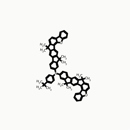 CC(C)(C)c1ccc(N(c2ccc3c(c2)C(C)(C)c2cc4c(cc2-3)C(C)(C)c2ccc3c(oc5ccccc53)c2-4)c2ccc3c(c2)C(C)(C)c2cc4c(cc2-3)C(C)(C)c2ccc3oc5ccccc5c3c2-4)cc1